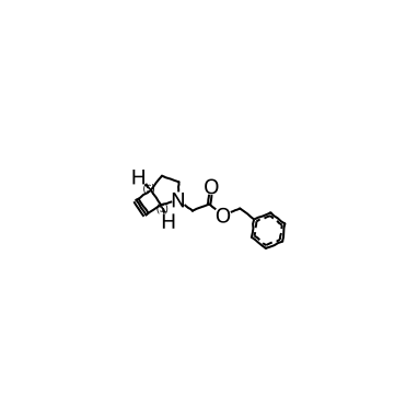 O=C(CN1CC[C@H]2C#C[C@H]21)OCc1ccccc1